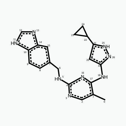 Cc1cnc(NCc2ccc3[nH]cnc3c2)nc1Nc1cc(C2CC2)[nH]n1